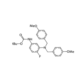 COc1ccc(CN(Cc2ccc(OC)cc2)c2cc(NC(=O)OC(C)(C)C)ccc2F)cc1